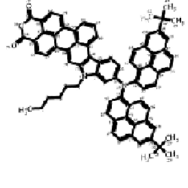 CCCCCCn1c2cc(N(c3ccc4ccc5cc(C(C)(C)C)cc6ccc3c4c56)c3ccc4ccc5cc(C(C)(C)C)cc6ccc3c4c56)ccc2c2c3cccc4c5ccc6c7c(ccc(c(cc21)c43)c75)C(=O)OC6=O